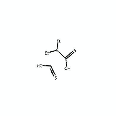 CCN(CC)C(O)=S.OC=S